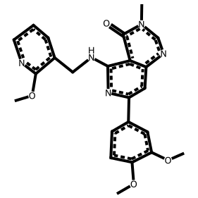 COc1ccc(-c2cc3ncn(C)c(=O)c3c(NCc3cccnc3OC)n2)cc1OC